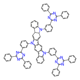 C1=c2c(n(-c3cccc(-c4nc(-c5ccccc5)nc(-c5ccccc5)n4)c3)c3cc4c5ccccc5n(-c5cccc(-c6nc(-c7ccccc7)nc(-c7ccccc7)n6)c5)c4cc23)=CC2c3ccccc3N(c3cccc(-c4nc(-c5ccccc5)nc(-c5ccccc5)n4)c3)C12